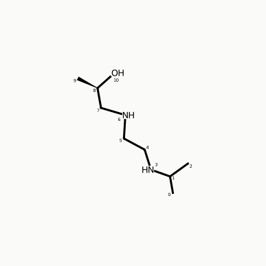 CC(C)NCCNC[C@@H](C)O